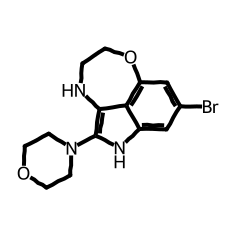 Brc1cc2c3c(c(N4CCOCC4)[nH]c3c1)NCCO2